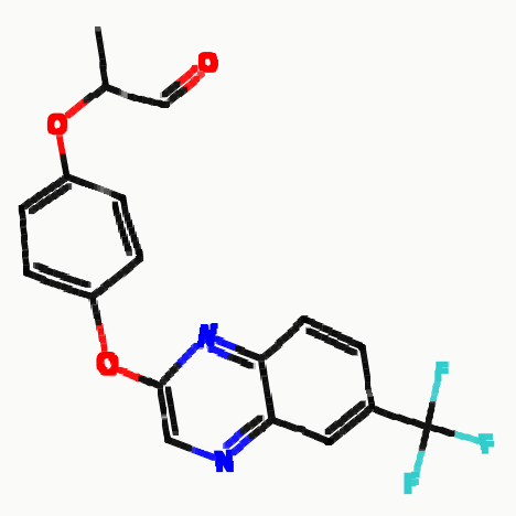 CC(C=O)Oc1ccc(Oc2cnc3cc(C(F)(F)F)ccc3n2)cc1